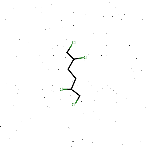 ClCC(Cl)CCC(Cl)CCl